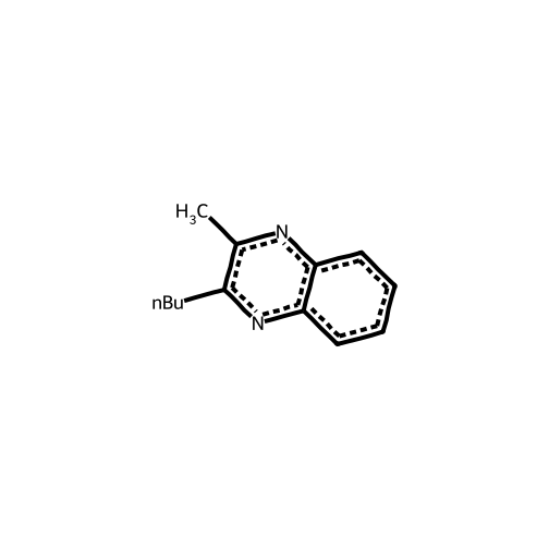 CCCCc1nc2ccccc2nc1C